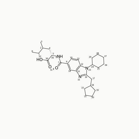 CCC(C)C[C@H](NC(=O)c1ccc2c(c1)nc(CC1CCCC1)n2C1CCCCC1)C(=O)O